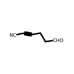 N#CC#CCC[C]=O